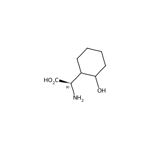 N[C@@H](C(=O)O)C1CCCCC1O